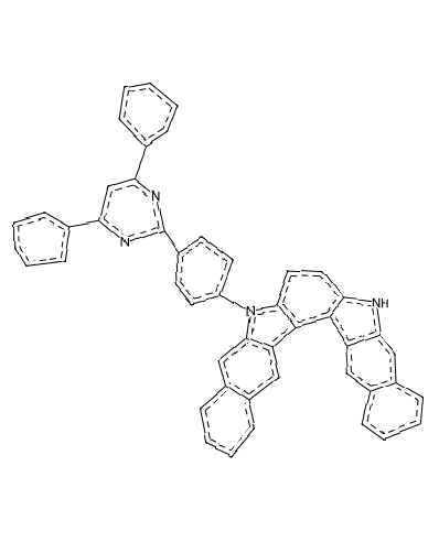 c1ccc(-c2cc(-c3ccccc3)nc(-c3ccc(-n4c5cc6ccccc6cc5c5c6c(ccc54)[nH]c4cc5ccccc5cc46)cc3)n2)cc1